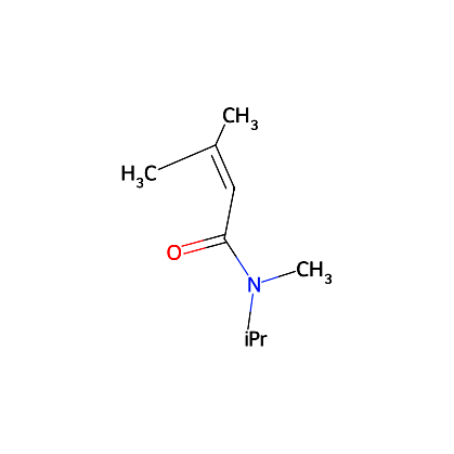 CC(C)=CC(=O)N(C)C(C)C